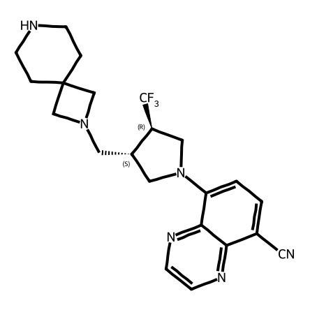 N#Cc1ccc(N2C[C@H](CN3CC4(CCNCC4)C3)[C@@H](C(F)(F)F)C2)c2nccnc12